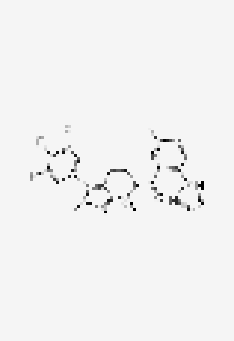 Cc1ccc(-n2nccn2)c(C(=O)N2CCc3c(nn(C)c3-c3cc(F)c(F)c(F)c3)[C@@H]2C)n1